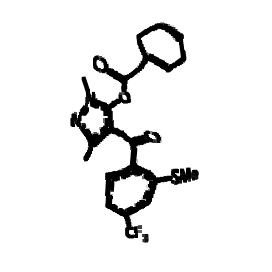 CSc1cc(C(F)(F)F)ccc1C(=O)c1c(C)nn(C)c1OC(=O)C1=CCCCC1